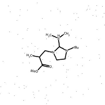 COC(=O)C(C)CN1CCN(C(C)(C)C)C1[SiH](C)C